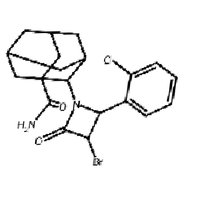 NC(=O)C12CC3CC(CC(C3)C1N1C(=O)C(Br)C1c1ccccc1Cl)C2